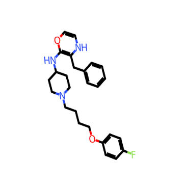 Fc1ccc(OCCCCN2CCC(NC3=C(Cc4ccccc4)NC=CO3)CC2)cc1